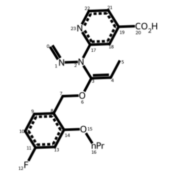 C=NN(/C(=C\C)OCc1ccc(F)cc1OCCC)c1cc(C(=O)O)ccn1